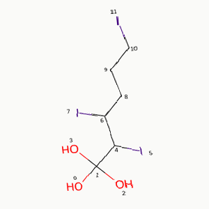 OC(O)(O)C(I)C(I)CCCI